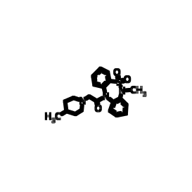 CC1CCN(CC(=O)N2c3ccccc3N(C)S(=O)(=O)c3ccccc32)CC1